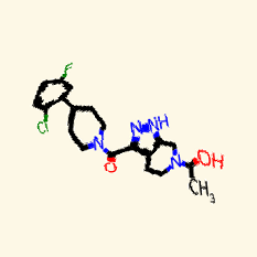 CC(O)N1CCc2c(C(=O)N3CCC(c4cc(F)ccc4Cl)CC3)n[nH]c2C1